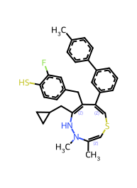 C/C1=C/S/C=C(c2cccc(-c3ccc(C)cc3)c2)\C(Cc2ccc(S)c(F)c2)=C(\CC2CC2)NN1C